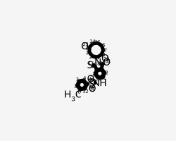 Cc1cccc(S(=O)(=O)Nc2ccc3c(c2)C(=S)N(C2CCC(=O)CCCCC2=O)C3=O)c1